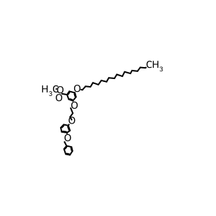 CCCCCCCCCCCCCCCCCCOc1cc(OCCCOc2cccc(OCc3ccccc3)c2)cc(C(=O)OC)c1